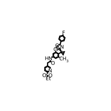 CCS(=O)(=O)c1ccc(CC(=O)Nc2cc(C)c(C3(c4noc(-c5ccc(F)cc5)n4)CC3)c(C)c2)cn1